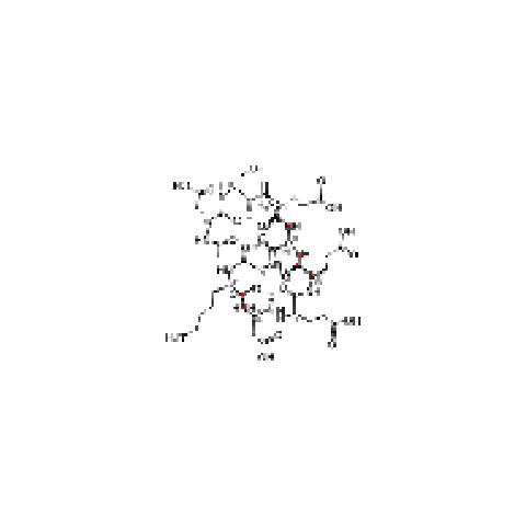 CC(=O)N[C@H](CC(=O)O)C(=O)N[C@H](CO)C(=O)N[C@H](CCC(=O)O)C(=O)N[C@H](CC(=O)O)C(=O)N[C@H](CC(N)=O)C(=O)N[C@H](CCCCN)C(=O)N[C@H](CC(=O)O)C(=O)N[C@H](CCC(=O)O)C(=O)N[C@H](CCC(=O)O)C(=O)N[C@H](CC(N)=O)C(N)=O